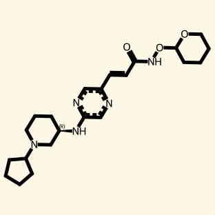 O=C(C=Cc1cnc(N[C@@H]2CCCN(C3CCCC3)C2)cn1)NOC1CCCCO1